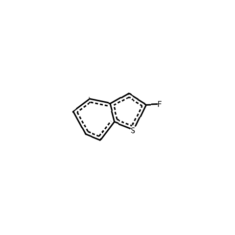 Fc1cc2[c]cccc2s1